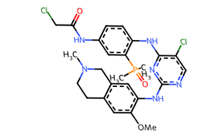 COc1cc2c(cc1Nc1ncc(Cl)c(Nc3ccc(NC(=O)CCl)cc3P(C)(C)=O)n1)CN(C)CC2